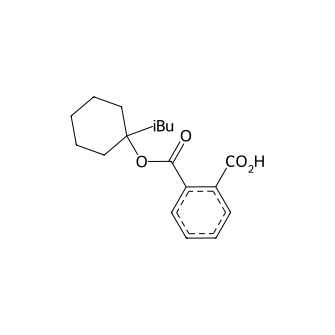 CCC(C)C1(OC(=O)c2ccccc2C(=O)O)CCCCC1